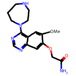 COc1cc2c(N3CCCNCC3)ncnc2cc1OCC(N)=O